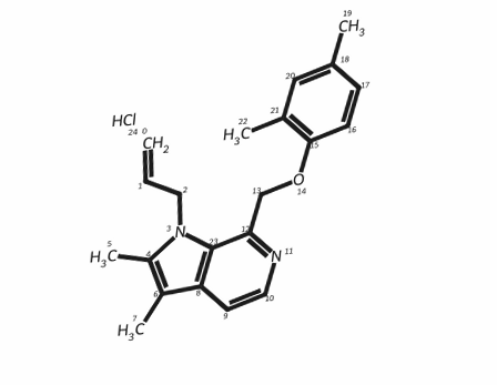 C=CCn1c(C)c(C)c2ccnc(COc3ccc(C)cc3C)c21.Cl